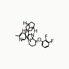 Cc1cc(N2C[C@H]3CC[C@@H](C2)C3Nc2nc3n(n2)CCC[C@H]3Oc2cccc(F)c2F)ncn1